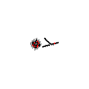 CCCCCCCC[PH+](CCCCCCCC)CCCCCCCC.Fc1c(F)c(F)c([B-](c2c(F)c(F)c(F)c(F)c2F)(c2c(F)c(F)c(F)c(F)c2F)c2c(F)c(F)c(F)c(F)c2F)c(F)c1F